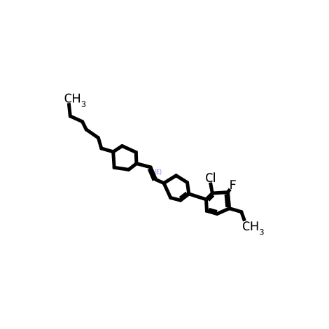 CCCCCCC1CCC(/C=C/C2CC=C(c3ccc(CC)c(F)c3Cl)CC2)CC1